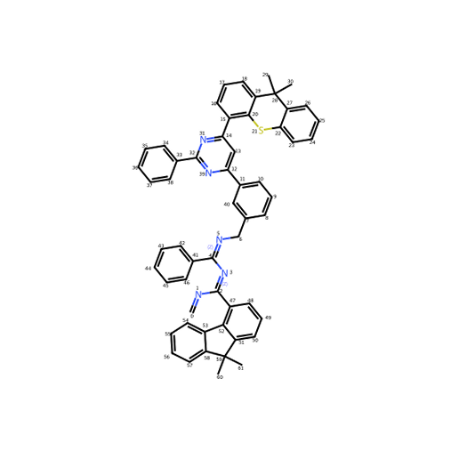 C=N/C(=N\C(=N/Cc1cccc(-c2cc(-c3cccc4c3Sc3ccccc3C4(C)C)nc(-c3ccccc3)n2)c1)c1ccccc1)c1cccc2c1-c1ccccc1C2(C)C